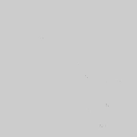 Nc1nc2c(s1)CN(SCc1cccc(Oc3ccccc3)c1)CC2=O